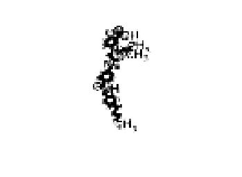 CCCCCc1ccc(CNC(=O)c2ccc(-c3nc(CN(C(=O)C=C(C)C)C4C=C(C(=O)O)C(O)=CC4)cs3)cc2)cc1